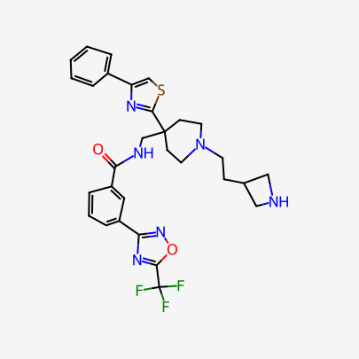 O=C(NCC1(c2nc(-c3ccccc3)cs2)CCN(CCC2CNC2)CC1)c1cccc(-c2noc(C(F)(F)F)n2)c1